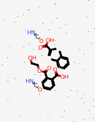 C=C(C)C(=O)O.Cc1ccccc1C.N=C=O.N=C=O.O=C(O)c1ccccc1C(=O)OCCO